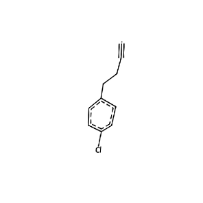 [C]#CCCc1ccc(Cl)cc1